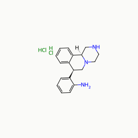 Cl.Cl.Nc1ccccc1[C@@H]1CN2CCNC[C@@H]2c2ccccc21